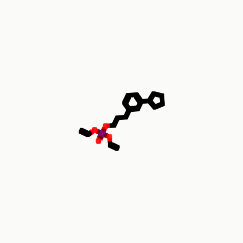 C=COP(=O)(OC=C)OCCCc1cccc(C2CCCC2)c1